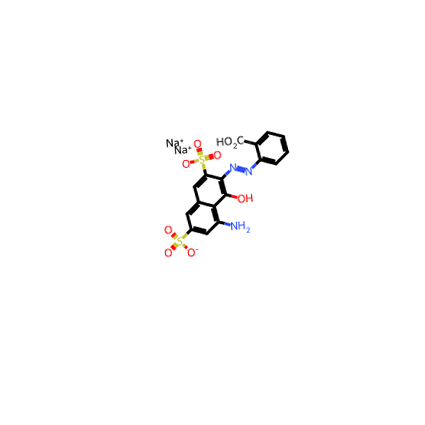 Nc1cc(S(=O)(=O)[O-])cc2cc(S(=O)(=O)[O-])c(N=Nc3ccccc3C(=O)O)c(O)c12.[Na+].[Na+]